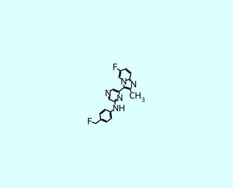 Cc1nc2ccc(F)cn2c1-c1cncc(Nc2ccc(CF)cc2)n1